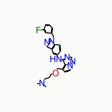 CN(C)CCCOCc1ccn2ncnc(Nc3ccc4c(cnn4Cc4cccc(F)c4)c3)c12